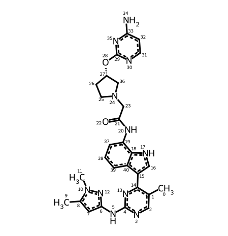 Cc1cnc(Nc2cc(C)n(C)n2)nc1-c1c[nH]c2c(NC(=O)CN3CC[C@H](Oc4nccc(N)n4)C3)cccc12